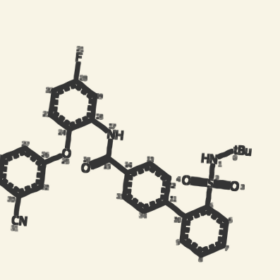 CC(C)(C)NS(=O)(=O)c1ccccc1-c1ccc(C(=O)Nc2cc(F)ccc2Oc2cccc(C#N)c2)cc1